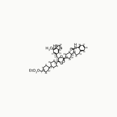 CCOC(=O)CN1CCC(C2CCN(C(=O)[C@@H](Cc3cc(C)c4[nH]cnc4c3)OC(=O)N3CCC(N4CCc5ccccc5NC4=O)CC3)CC2)CC1